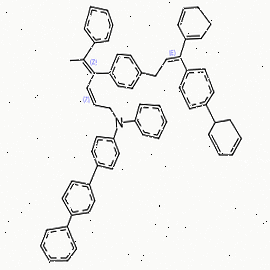 C/C(=C(\C=C/CN(c1ccccc1)c1ccc(-c2ccc(-c3ccccc3)cc2)cc1)c1ccc(C/C=C(/C2=CCCC=C2)c2ccc(C3C=CC=CC3)cc2)cc1)c1ccccc1